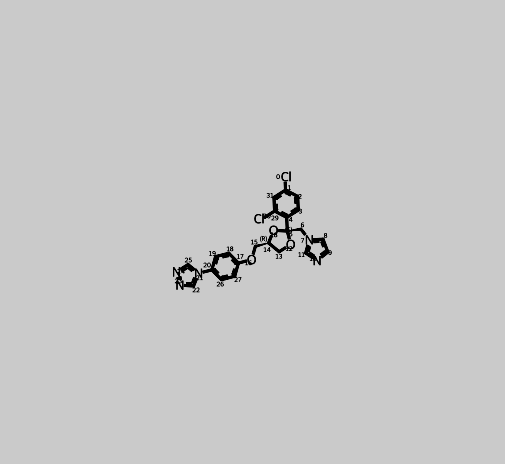 Clc1ccc([C@]2(Cn3ccnc3)OC[C@@H](COc3ccc(-n4cnnc4)cc3)O2)c(Cl)c1